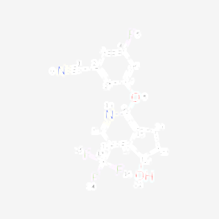 N#Cc1cc(F)cc(Oc2ncc(C(F)(F)F)c3c2CCC3O)c1